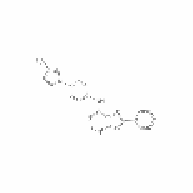 FC(F)(F)c1ccn(-c2ccc(Nc3ncnc4cc(-c5ccccc5)sc34)cc2)n1